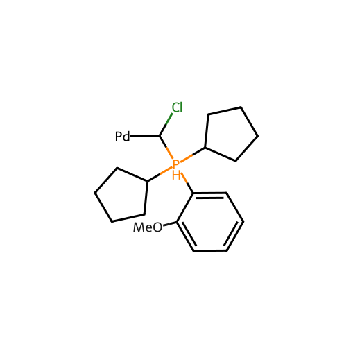 COc1ccccc1[PH]([CH](Cl)[Pd])(C1CCCC1)C1CCCC1